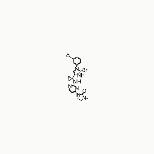 CN1CCN(c2ccnc(NC3(C4=CN(c5cccc(C6CC6)c5)C(Br)N4)CC3)n2)C1=O